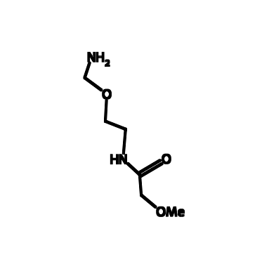 COCC(=O)NCCOCN